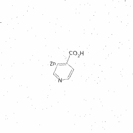 O=C(O)c1ccncc1.[Zn]